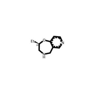 CC[C@@H]1CNCc2cnccc2O1